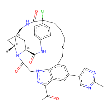 CC(=O)c1nn2c3c(cc(-c4cnc(C)nc4)cc13)CCCCCCC(=O)NC[C@@]13C[C@@H](C(=O)Nc4ccc(Cl)cc4)N(C(=O)C2)[C@@H]1C3